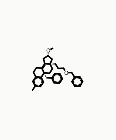 CO[C@H]1CC2=C3CCc4cc(C)ccc4[C@]3(Cc3ccccc3)CC[C@@]2(CCCOCc2ccccc2)C1